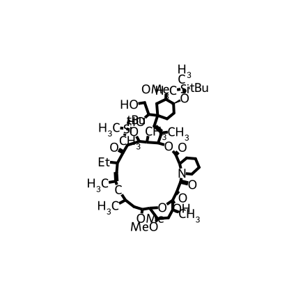 CCC1/C=C(\C)CC(C)CC(OC)C2OC(O)(C(=O)C(=O)N3CCCCC3C(=O)OC(C(C)=CC3(C(O)CO)CC[C@H](O[Si](C)(C)C(C)(C)C)C(OC)C3)C(C)C(O[Si](C)(C)C(C)(C)C)CC1=O)C(C)CC2OC